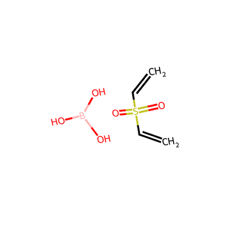 C=CS(=O)(=O)C=C.OB(O)O